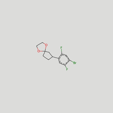 Fc1cc(C2CCC3(C2)OCCO3)c(F)cc1Br